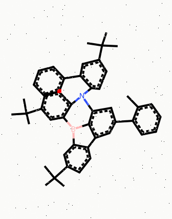 Cc1ccccc1-c1cc2c3c(c1)N(c1ccc(C(C)(C)C)cc1-c1ccccc1)c1ccc(C(C)(C)C)cc1B3c1cc(C(C)(C)C)ccc1-2